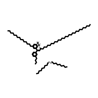 CCCCCCCCCCCCCCCCCCCCCCCCCCCCC(=C=[N+]=[N-])C=C(c1cccc(CCCC)c1)c1cccc(CCCCCCCCCCCCCCC)c1.CCCCCCCC[CH2][Pd][CH2]CCCCCCCC